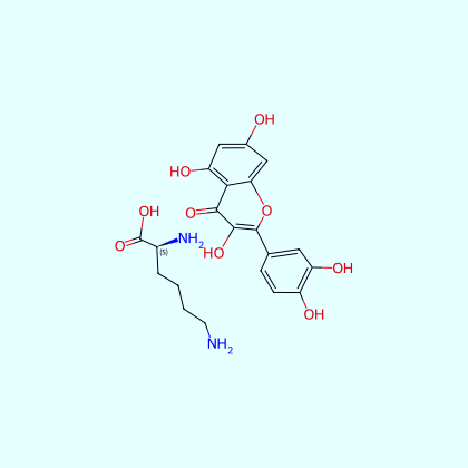 NCCCC[C@H](N)C(=O)O.O=c1c(O)c(-c2ccc(O)c(O)c2)oc2cc(O)cc(O)c12